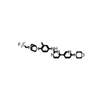 Cc1cc(Nc2nccc(-c3ccc(N4CCOCC4)nc3)n2)ccc1N1CC2CC1CN2CC(F)(F)F